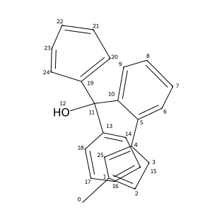 CC1=CCC(c2ccccc2C(O)(c2ccccc2)c2ccccc2)=C1